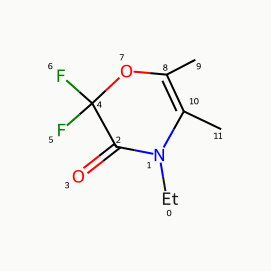 CCN1C(=O)C(F)(F)OC(C)=C1C